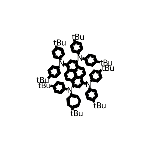 CC(C)(C)C1=CCC=C(N(c2ccc(C(C)(C)C)cc2)c2cc(N(c3ccc(C(C)(C)C)cc3)c3ccc(C(C)(C)C)cc3)c3ccc4c(N(c5ccc(C(C)(C)C)cc5)c5ccc(C(C)(C)C)cc5)cc(N(c5ccc(C(C)(C)C)cc5)c5ccc(C(C)(C)C)cc5)c5ccc2c3c54)C=C1